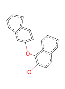 [O]c1ccc2ccccc2c1Oc1ccc2ccccc2c1